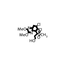 COc1nc2cc(Cl)c(Cl)c(C(CCO)S(C)(=O)=O)c2nc1OC